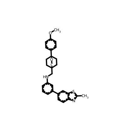 COc1ccc(C23CCC(CNc4cccc(-c5ccc6nc(C)sc6c5)c4)(CC2)CO3)cc1